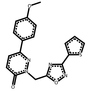 COc1ccc(-c2ccc(=O)n(Cc3nc(-c4cccs4)no3)n2)cc1